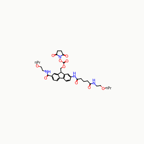 CCCOCCNC(=O)CCCC(=O)Nc1ccc2c(c1)C(COC(=O)ON1C(=O)CCC1=O)c1cc(C(=O)NCCOCCC)ccc1-2